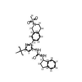 CC(C)(C)c1cc(NC(=O)NC2CCc3ccccc32)n(-c2ccc3c(c2)CN(S(C)(=O)=O)CC3)n1